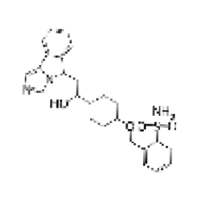 NS(=O)(=O)C1CC=CC=C1COC1CCC(C(O)CC2c3ccccc3-c3cncn32)CC1